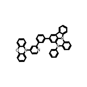 c1ccc(N2c3ccccc3-n3c4ccccc4c4cc(-c5cccc(-c6cc(N7c8ccccc8Oc8ccccc87)ccn6)c5)cc2c43)cc1